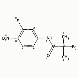 CC(C)(Br)C(=O)Nc1ccc([N+](=O)[O-])c(F)c1